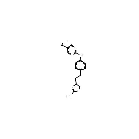 CC(C)c1cnc(Nc2ccc(CCC3COC(N)=N3)cc2)nc1